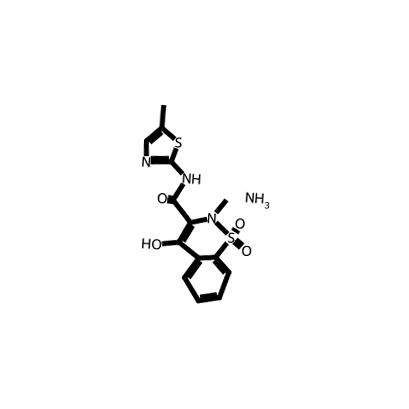 Cc1cnc(NC(=O)C2=C(O)c3ccccc3S(=O)(=O)N2C)s1.N